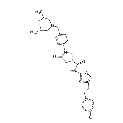 CC1CN(Cc2ccc(N3CC(C(=O)Nc4nnc(CCc5ccc(Cl)cc5)s4)CC3=O)cc2)CC(C)O1